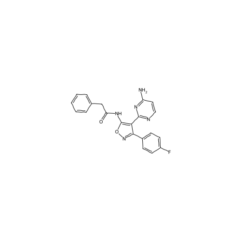 Nc1ccnc(-c2c(-c3ccc(F)cc3)noc2NC(=O)Cc2ccccc2)n1